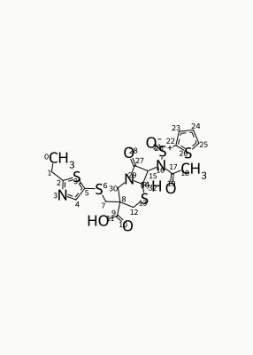 CCc1ncc(SCC2(C(=O)O)CS[C@@H]3C(N(C(C)=O)[S+]([O-])c4cccs4)C(=O)N3C2)s1